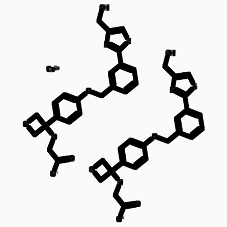 O=C([O-])COC1(c2ccc(OCc3cccc(-c4nc(CO)cs4)c3)cc2)COC1.O=C([O-])COC1(c2ccc(OCc3cccc(-c4nc(CO)cs4)c3)cc2)COC1.[Ca+2]